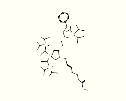 COC(=O)CCCC=CC[C@@H]1[C@@H](CC[C@H](CCc2ccccc2)O[Si](C(C)C)(C(C)C)C(C)C)[C@H](O[Si](C(C)C)(C(C)C)C(C)C)C[C@H]1O[Si](C(C)C)(C(C)C)C(C)C